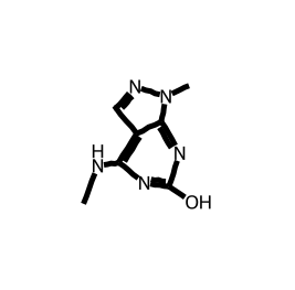 CNc1nc(O)nc2c1cnn2C